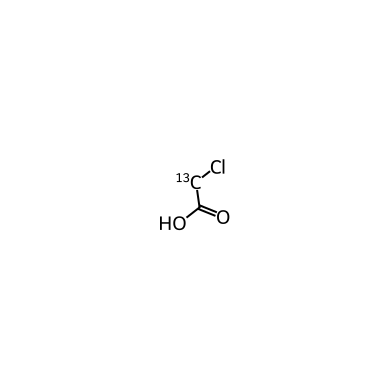 O=C(O)[13CH2]Cl